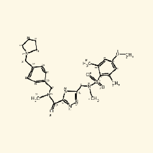 COc1cc(C)c(S(=O)(=O)N(C)Cc2nnc(C(=O)N(C)Cc3ccc(CN4CCCC4)cc3)s2)c(C)c1